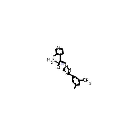 Cc1cc(-c2ncn(/C=C(\C(N)=O)c3ccncc3F)n2)cc(C(F)(F)F)c1